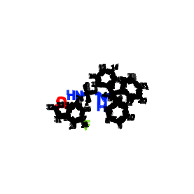 CC(C)(CNC(c1ccccc1)(c1ccccc1)c1ccccc1)Nc1cc(F)cc2ccoc12